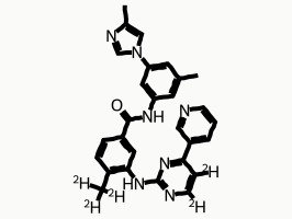 [2H]c1nc(Nc2cc(C(=O)Nc3cc(C)cc(-n4cnc(C)c4)c3)ccc2C([2H])([2H])[2H])nc(-c2cccnc2)c1[2H]